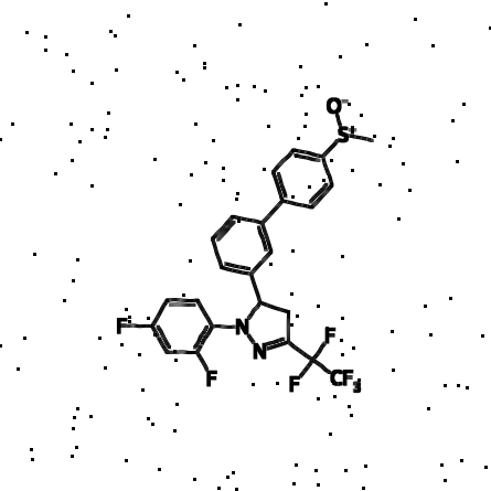 C[S+]([O-])c1ccc(-c2cccc(C3CC(C(F)(F)C(F)(F)F)=NN3c3ccc(F)cc3F)c2)cc1